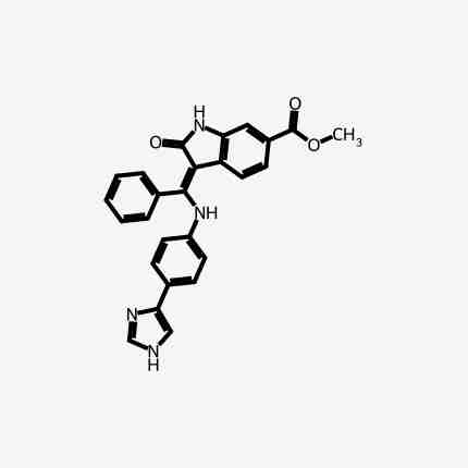 COC(=O)c1ccc2c(c1)NC(=O)C2=C(Nc1ccc(-c2c[nH]cn2)cc1)c1ccccc1